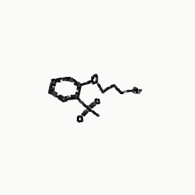 CS(=O)(=O)c1ccccc1OCCCBr